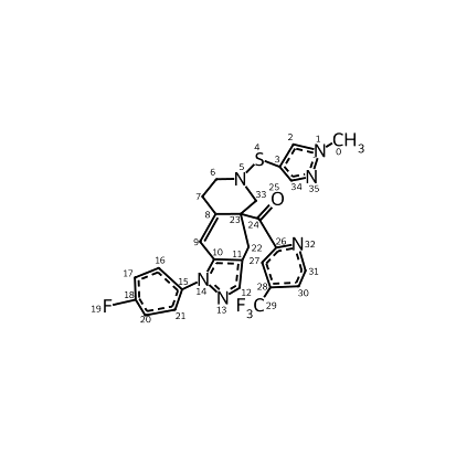 Cn1cc(SN2CCC3=Cc4c(cnn4-c4ccc(F)cc4)CC3(C(=O)c3cc(C(F)(F)F)ccn3)C2)cn1